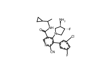 CC(NC(=O)c1cnc(C#N)c(-c2cc(F)cc(Cl)c2)c1N1C[C@@H](N)[C@H](F)C1)C1CC1